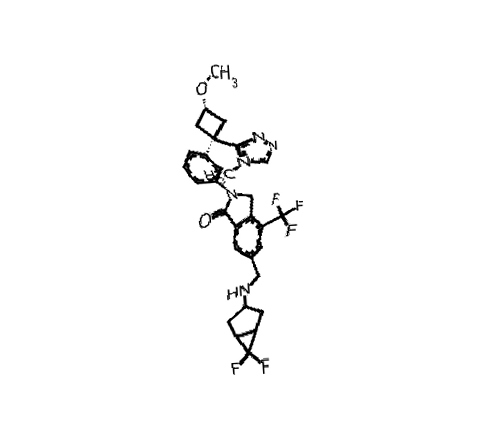 CO[C@H]1C[C@](c2cccc(N3Cc4c(cc(CNC5CC6C(C5)C6(F)F)cc4C(F)(F)F)C3=O)c2)(c2nncn2C)C1